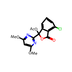 COc1cc(OC)nc(C2(OC(C)=O)OC(=O)c3c(Cl)cccc32)n1